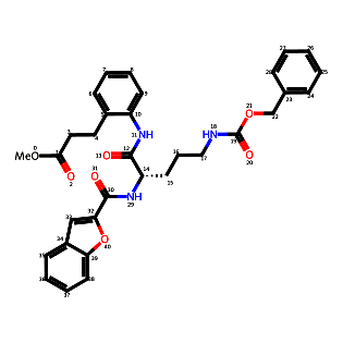 COC(=O)CCc1ccccc1NC(=O)[C@H](CCCNC(=O)OCc1ccccc1)NC(=O)c1cc2ccccc2o1